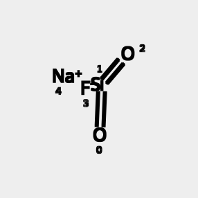 O=[Si]=O.[F-].[Na+]